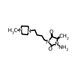 C=C1C(=O)N(CCCCN2CCN(C)CC2)C(=O)N1N